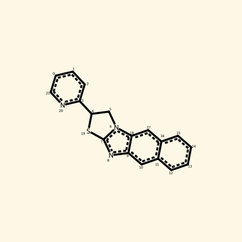 c1ccc(C2Cn3c(nc4cc5ccccc5cc43)S2)nc1